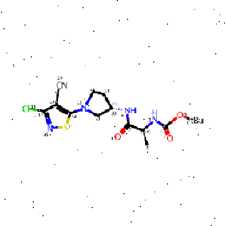 C[C@H](NC(=O)OC(C)(C)C)C(=O)N[C@H]1CCN(c2snc(Cl)c2C#N)C1